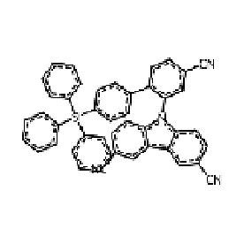 N#Cc1ccc(-c2ccc([Si](c3ccccc3)(c3ccccc3)c3ccccc3)cc2)c(-n2c3ccc(C#N)cc3c3cc(C#N)ccc32)c1